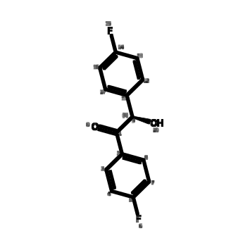 O=C(c1ccc(F)cc1)[C@H](O)c1ccc(F)cc1